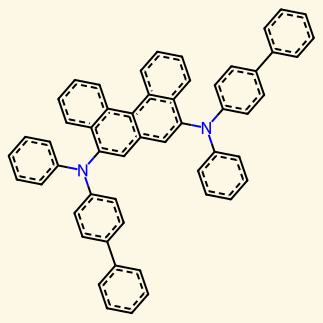 c1ccc(-c2ccc(N(c3ccccc3)c3cc4cc(N(c5ccccc5)c5ccc(-c6ccccc6)cc5)c5ccccc5c4c4ccccc34)cc2)cc1